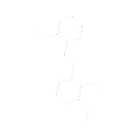 CCc1ccccc1/C=C/c1cccc(CC)c1CC